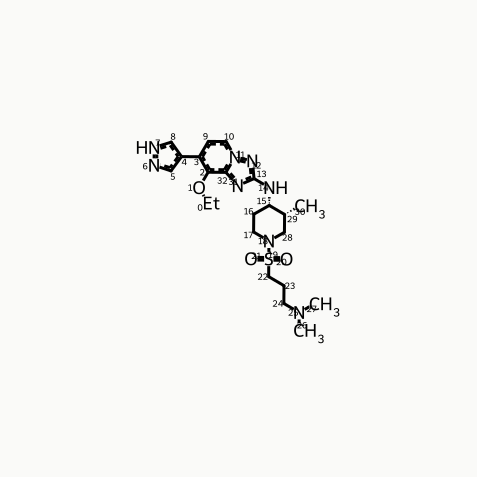 CCOc1c(-c2cn[nH]c2)ccn2nc(N[C@H]3CCN(S(=O)(=O)CCCN(C)C)C[C@H]3C)nc12